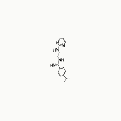 CC(C)c1ccc(C(=N)NCCNc2ncccn2)cc1